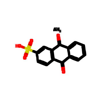 O=C1c2ccccc2C(=O)c2cc(S(=O)(=O)O)ccc21.[AlH3]